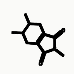 CC1CC2=C(CC1C)C(=O)N(C)C2=O